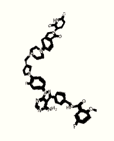 COc1ccc(F)cc1C(=O)NCc1ccc(-c2nn(-c3ccc(N4CC[C@@H](CN5CCN(c6ccc7c(c6)CN(C6CCC(=O)NC6=O)C7=O)CC5)C4)c(F)c3)c3ncnc(N)c23)cc1